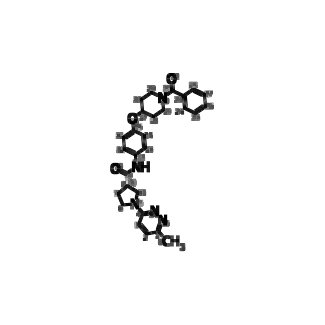 Cc1ccc(N2CC[C@H](C(=O)Nc3ccc(OC4CCN(C(=O)c5ccccc5)CC4)cc3)C2)nn1